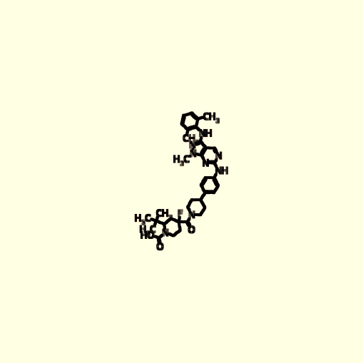 Cc1cccc(C)c1Nc1nn(C)c2nc(Nc3ccc(C4CCN(C(=O)C5(F)CCN(C(=O)O)C(C(C)(C)C)C5)CC4)cc3)ncc12